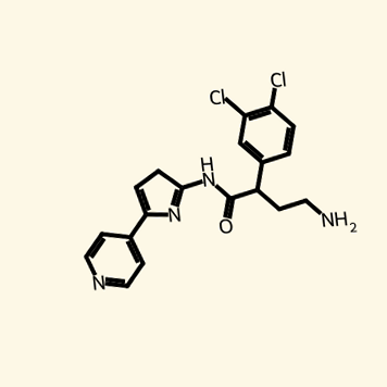 NCCC(C(=O)NC1=NC(c2ccncc2)=CC1)c1ccc(Cl)c(Cl)c1